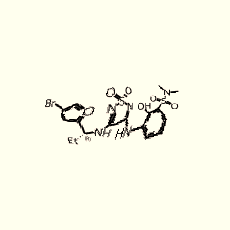 CC[C@@H](NC1=NS(=O)(=O)N=C1Nc1cccc(S(=O)(=O)N(C)C)c1O)c1cc(Br)co1